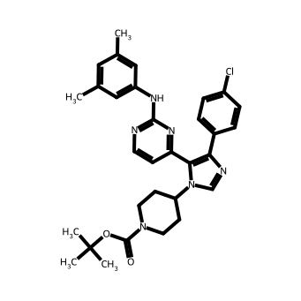 Cc1cc(C)cc(Nc2nccc(-c3c(-c4ccc(Cl)cc4)ncn3C3CCN(C(=O)OC(C)(C)C)CC3)n2)c1